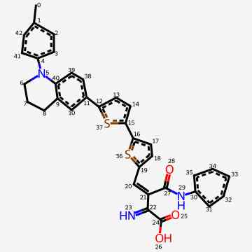 Cc1ccc(N2CCCc3cc(-c4ccc(-c5ccc(/C=C(/C(=N)C(=O)O)C(=O)Nc6ccccc6)s5)s4)ccc32)cc1